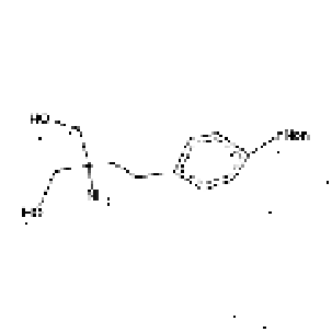 CCCCCCCCCc1ccc(CCC(N)(CO)CO)cc1